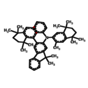 Cc1cc2c(cc1N(c1ccccc1)c1cc3c(cc1-c1cccc4c1C(C)(C)CCC4(C)C)-c1ccccc1C3(C)C)C(C)(C)CCC2(C)C